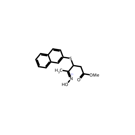 COC(=O)CC(Sc1ccc2ccccc2c1)/C(C)=N/O